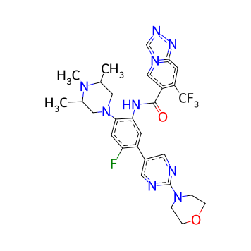 CC1CN(c2cc(F)c(-c3cnc(N4CCOCC4)nc3)cc2NC(=O)c2cn3cnnc3cc2C(F)(F)F)CC(C)N1C